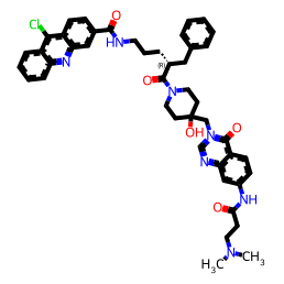 CN(C)CCC(=O)Nc1ccc2c(=O)n(CC3(O)CCN(C(=O)[C@H](CCCNC(=O)c4ccc5c(Cl)c6ccccc6nc5c4)Cc4ccccc4)CC3)cnc2c1